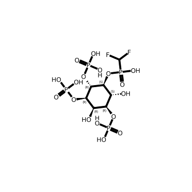 O=P(O)(O)O[C@H]1[C@@H](O)[C@@H](OP(=O)(O)O)[C@H](OP(=O)(O)O)[C@@H](OP(=O)(O)C(F)F)[C@@H]1O